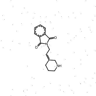 O=C1c2ccccc2C(=O)N1C/C=C1/CCCNC1